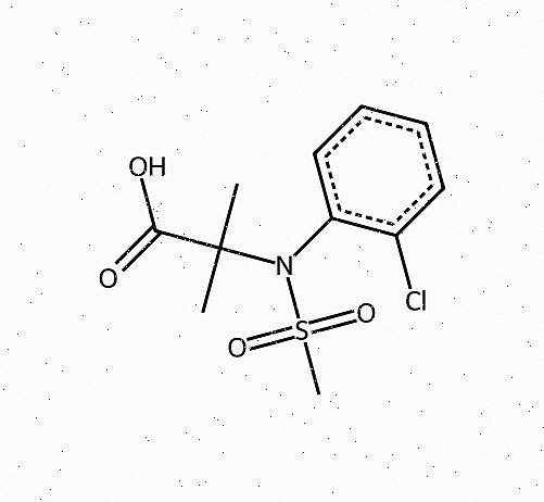 CC(C)(C(=O)O)N(c1ccccc1Cl)S(C)(=O)=O